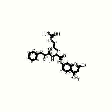 Cc1cc(=O)oc2cc(NC(=O)[C@H](CCCNC(=N)N)NC(=O)[C@@H](N)Cc3ccccc3)ccc12